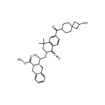 CC(C)(C)OC(=O)N1Cc2ccccc2C[C@@H]1[C@@H](O)CN1CC(C)(C)c2cc(C(=O)N3CCC4(CC3)CC(O)C4)ccc2C1=C=O